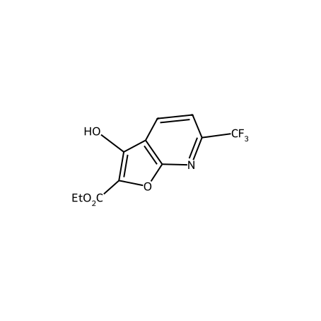 CCOC(=O)c1oc2nc(C(F)(F)F)ccc2c1O